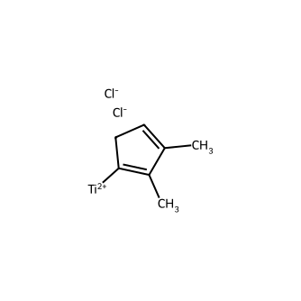 CC1=CC[C]([Ti+2])=C1C.[Cl-].[Cl-]